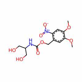 COc1cc(COC(=O)NC(CO)CO)c([N+](=O)[O-])cc1OC